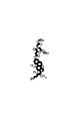 CC(C)CCC[C@@H](C)[C@H]1CCC2[C@@H]3CC=C4C[C@@H](OC(=O)CCC(=O)N(CC(=O)OC(C)(C)C)CC(=O)OC(C)(C)C)CC[C@]4(C)C3CC[C@@]21C